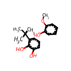 CC(C)(C)c1cccc(O)c1O.COc1ccccc1O